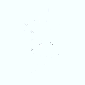 CC1C(c2c(F)ccc(F)c2F)CC(N2C(=O)C3(CCc4sccc4C3)c3cccnc32)C(=O)N1CC(F)(F)F